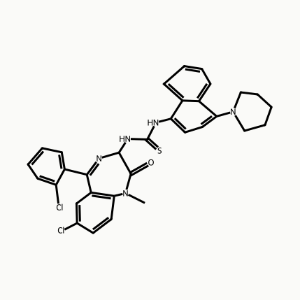 CN1C(=O)C(NC(=S)Nc2ccc(N3CCCCC3)c3ccccc23)N=C(c2ccccc2Cl)c2cc(Cl)ccc21